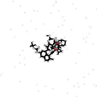 CSc1nc2c3c(nc(-c4cc(NC(=O)OC(C)(C)C)cc5ccc(F)c(C#C[Si](C(C)C)(C(C)C)C(C)C)c45)c(F)c3n1)OC(C)C1C3CCC(CN21)N3C(=O)O